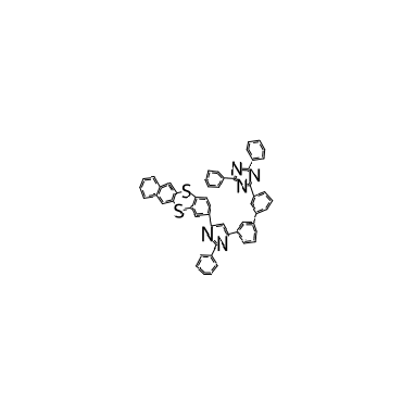 c1ccc(-c2nc(-c3cccc(-c4cccc(-c5nc(-c6ccccc6)nc(-c6ccccc6)n5)c4)c3)cc(-c3ccc4c(c3)Sc3cc5ccccc5cc3S4)n2)cc1